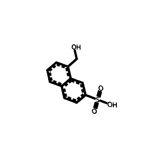 O=S(=O)(O)c1ccc2cccc(CO)c2c1